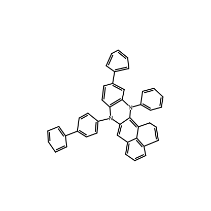 C1=Cc2cccc3cc4c(c(c23)C1)N(c1ccccc1)c1cc(-c2ccccc2)ccc1N4c1ccc(-c2ccccc2)cc1